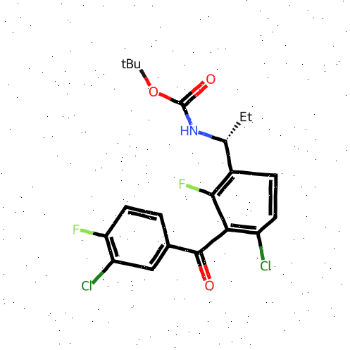 CC[C@@H](NC(=O)OC(C)(C)C)c1ccc(Cl)c(C(=O)c2ccc(F)c(Cl)c2)c1F